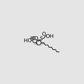 CCCCCCCC/C=C1\CC[C@@H](CC(=O)O)[C@H](O)[C@H]1SCC(=O)O